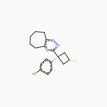 F[C@H]1C[C@](c2ccc(Cl)cc2)(c2nnc3c(n2)CCCCC3)C1